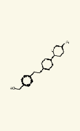 CCCC1CCC(C2CCC(CCc3ccc(CO)cc3)CC2)OC1